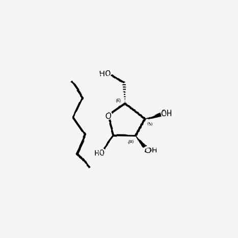 CCCCCC.OC[C@H]1OC(O)[C@H](O)[C@@H]1O